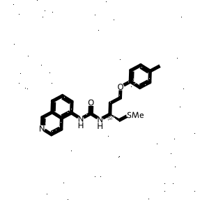 CSC[C@H](CCOc1ccc(C)cc1)NC(=O)Nc1cccc2cnccc12